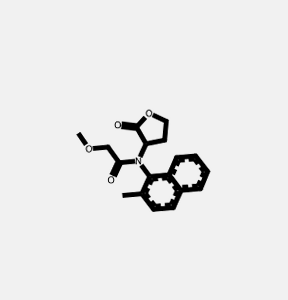 COCC(=O)N(c1c(C)ccc2ccccc12)C1CCOC1=O